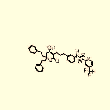 O=C1OC(CCc2ccccc2)(CCc2ccccc2)CC(O)=C1CCCc1cccc(NS(=O)(=O)c2cc(C(F)(F)F)ccn2)c1